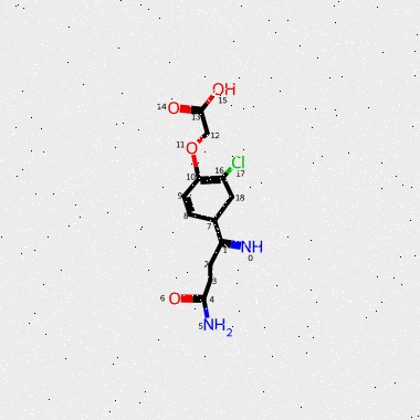 N=C(CCC(N)=O)C1C=CC(OCC(=O)O)=C(Cl)C1